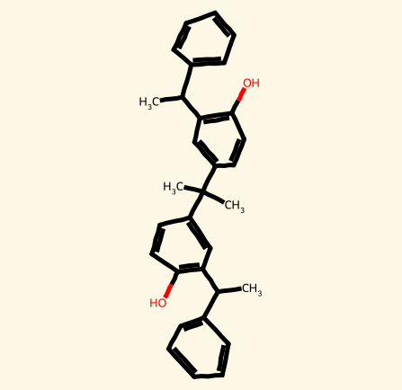 CC(c1ccccc1)c1cc(C(C)(C)c2ccc(O)c(C(C)c3ccccc3)c2)ccc1O